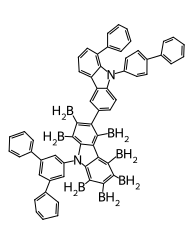 Bc1c(B)c(B)c2c(c1B)c1c(B)c(-c3ccc4c(c3)c3cccc(-c5ccccc5)c3n4-c3ccc(-c4ccccc4)cc3)c(B)c(B)c1n2-c1cc(-c2ccccc2)cc(-c2ccccc2)c1